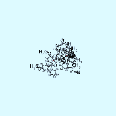 COc1ccc(C(OC23C[C@]4(Oc5cccc(CCC#N)c5N(C(C)C)C(C)C)[C@](OC(C)(C)C)(C(=O)C(C)C)[C@H](n5cnc6c(=O)[nH]c(N)nc65)O[C@]24C3)(c2ccccc2)c2ccc(OC)cc2)cc1